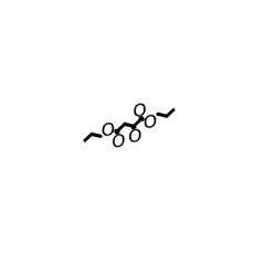 CCCOC(=O)CC(=O)C(=O)OCCC